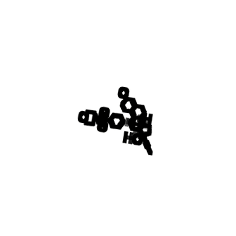 CC#C[C@]1(O)CC[C@H]2[C@@H]3CCC4=CC(=O)CCC4=C3[C@@H](c3ccc(S(=O)(=O)N4CCOCC4)cc3)C[C@@]21C